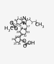 CCCCc1nc2ccc(S(C)(=O)=O)cc2n1Cc1ccc(-c2ccccc2OC(=O)O)cc1